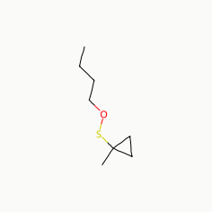 CCCCOSC1(C)CC1